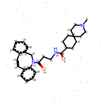 CN1CCC2(CCC(C(=O)NCCC(=O)N3Cc4ccccc4/C=C\c4ccccc43)CC2)CC1